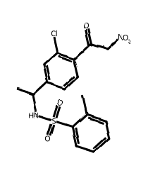 Cc1ccccc1S(=O)(=O)NC(C)c1ccc(C(=O)C[N+](=O)[O-])c(Cl)c1